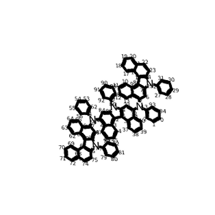 c1ccc(N(c2cc3c(c4ccccc24)c2c4ccccc4ccc2n3-c2ccccc2)c2cc3c(c4ccccc24)c2c4ccccc4c(N(c4ccccc4)c4cc5c(c6ccccc46)c4c6ccccc6ccc4n5-c4ccccc4)cc2n3-c2ccccc2)cc1